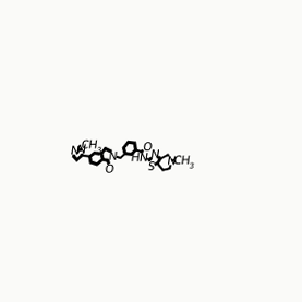 CN1CCc2sc(NC(=O)c3cccc(Cn4ccc5cc(-c6ccnn6C)ccc5c4=O)c3)nc2C1